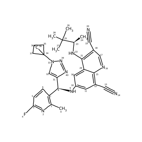 Cc1nc(F)ccc1[C@H](Nc1cc(C#N)c2ncc(C#N)c(N[C@H](C)C(C)(C)C)c2c1)c1cn(C23CC(C2)C3)nn1